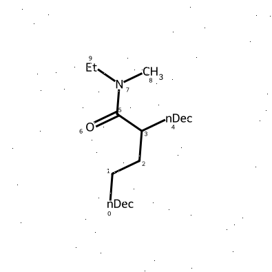 CCCCCCCCCCCCC(CCCCCCCCCC)C(=O)N(C)CC